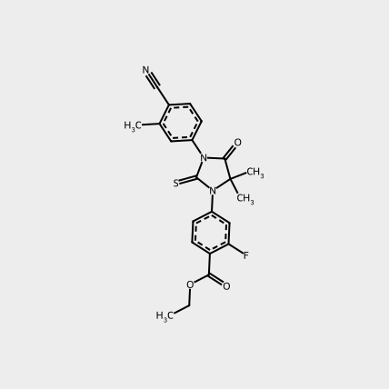 CCOC(=O)c1ccc(N2C(=S)N(c3ccc(C#N)c(C)c3)C(=O)C2(C)C)cc1F